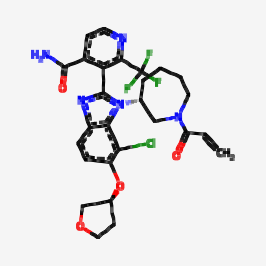 C=CC(=O)N1CCCC[C@@H](n2c(-c3c(C(N)=O)ccnc3C(F)(F)F)nc3ccc(O[C@H]4CCOC4)c(Cl)c32)C1